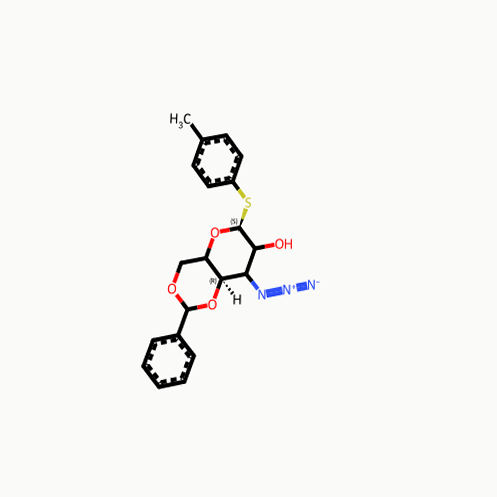 Cc1ccc(S[C@@H]2OC3COC(c4ccccc4)O[C@@H]3C(N=[N+]=[N-])C2O)cc1